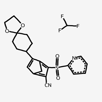 FC(F)F.N#CC1=C2C=C(C3CCC4(CC3)OCCO4)C(=C1S(=O)(=O)c1ccccn1)C2